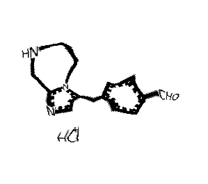 Cl.O=Cc1ccc(-c2cnc3n2CCNC3)cc1